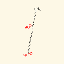 CCCCCCCCC(CCCCC=CC=CC=CC=CC(=O)O)OO